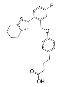 O=C(O)CCCc1ccc(OCc2cc(F)ccc2-c2cc3c(s2)CCCC3)cc1